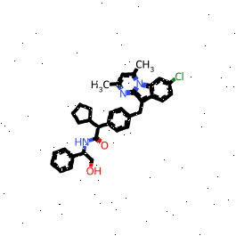 Cc1cc(C)n2c(n1)c(Cc1ccc(C(C(=O)NC(CO)c3ccccc3)C3CCCC3)cc1)c1ccc(Cl)cc12